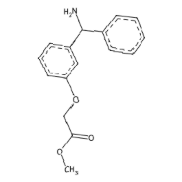 COC(=O)COc1cccc(C(N)c2ccccc2)c1